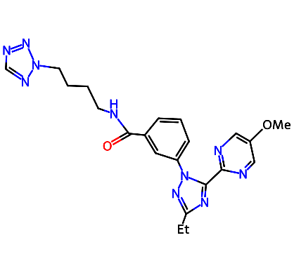 CCc1nc(-c2ncc(OC)cn2)n(-c2cccc(C(=O)NCCCCn3ncnn3)c2)n1